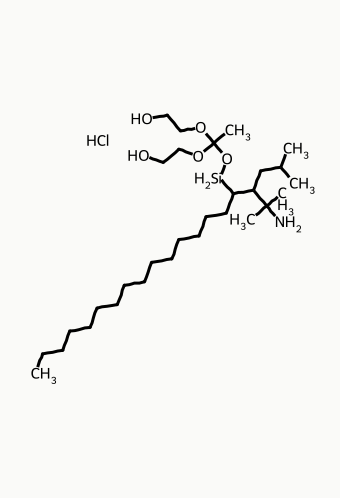 CCCCCCCCCCCCCCCC([SiH2]OC(C)(OCCO)OCCO)C(CC(C)C)C(C)(C)N.Cl